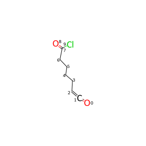 O=C=CCCCCC(=O)Cl